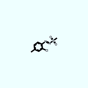 Cc1ccc(N=NS(C)(=O)=O)c(Cl)c1